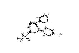 NS(=O)(=O)c1ccc(-c2ccccc2)c(-c2ccc(O)cc2)c1